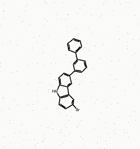 Brc1ccc2[nH]c3ccc(-c4cccc(-c5ccccc5)c4)cc3c2c1